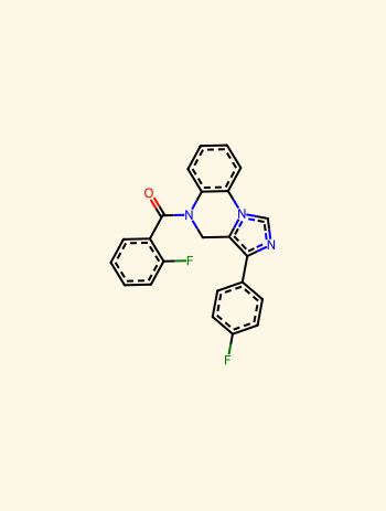 O=C(c1ccccc1F)N1Cc2c(-c3ccc(F)cc3)ncn2-c2ccccc21